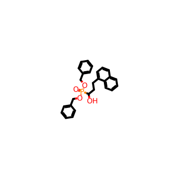 O=P(OCc1ccccc1)(OCc1ccccc1)C(O)CCc1cccc2ccccc12